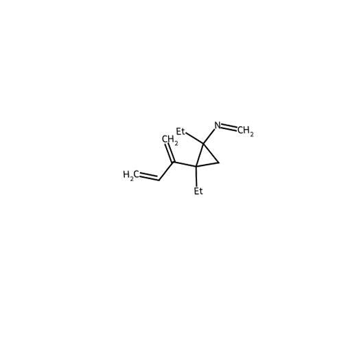 C=CC(=C)C1(CC)CC1(CC)N=C